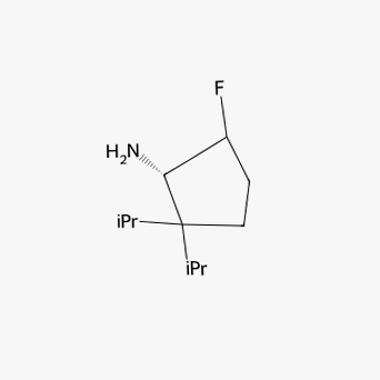 CC(C)C1(C(C)C)CCC(F)[C@H]1N